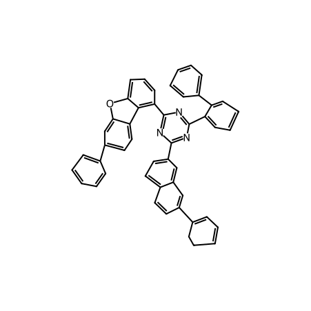 C1=CCCC(c2ccc3ccc(-c4nc(-c5ccccc5-c5ccccc5)nc(-c5cccc6oc7cc(-c8ccccc8)ccc7c56)n4)cc3c2)=C1